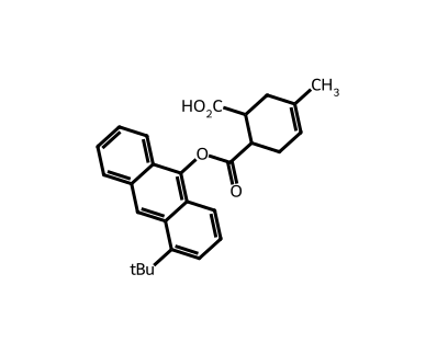 CC1=CCC(C(=O)Oc2c3ccccc3cc3c(C(C)(C)C)cccc23)C(C(=O)O)C1